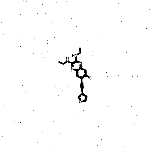 CCNc1nc2cc(Cl)c(C#Cc3ccoc3)cc2nc1NCC